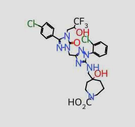 O=C(O)N1CCCC(O)(CNc2nc(Cn3nc(-c4ccc(Cl)cc4)n(CC(O)C(F)(F)F)c3=O)nn2-c2ccccc2Cl)CC1